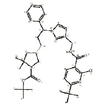 CC(C)(C)OC(=O)N1C[C@@H](CCC(c2ccccc2)n2ccc(SNC(=O)c3ccc(C(C)(C)C)nc3Cl)n2)CC1(C)C